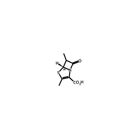 CC1=C(C(=O)O)N2C(=O)C(C)[C@H]2S1